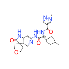 CC1CCC([C@H](NC(=O)c2cnn(C)c2)C(=O)Nc2cc3c(cn2)C2(CCOCC2)C(=O)N3)CC1